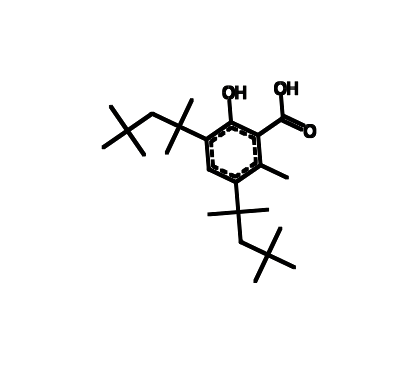 Cc1c(C(C)(C)CC(C)(C)C)cc(C(C)(C)CC(C)(C)C)c(O)c1C(=O)O